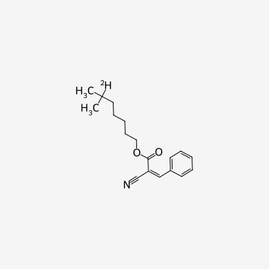 [2H]C(C)(C)CCCCCOC(=O)C(C#N)=Cc1ccccc1